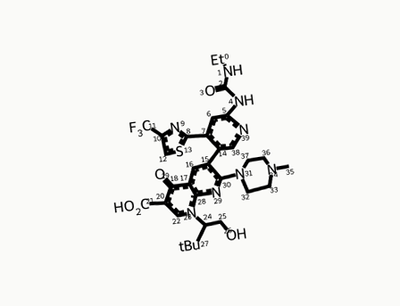 CCNC(=O)Nc1cc(-c2nc(C(F)(F)F)cs2)c(-c2cc3c(=O)c(C(=O)O)cn(C(CO)C(C)(C)C)c3nc2N2CCN(C)CC2)cn1